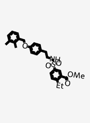 CCc1ccc(S(=O)(=O)NCCc2ccc(OCc3cccc(C)c3C)cc2)cc1C(=O)OC